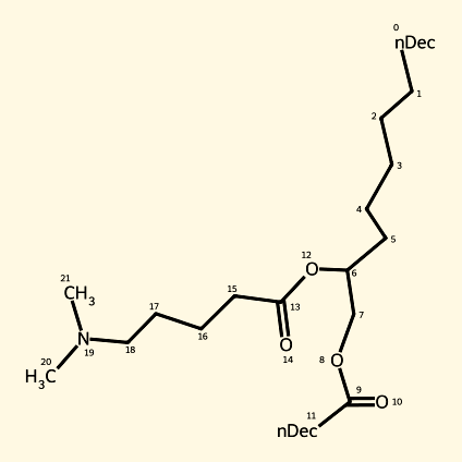 CCCCCCCCCCCCCCCC(COC(=O)CCCCCCCCCC)OC(=O)CCCCN(C)C